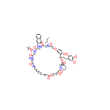 CCCC[C@H]1C(=O)N[C@@H](Cc2ccc3ccccc3c2)C(=O)N(C)[C@@H](COC(C)(C)C)C(=O)NCC(=O)N(C)CCCC/C=C/C(=O)OCC(C)(C)C(=O)C(=O)N2CCCC[C@H]2C(=O)O[C@H](CCc2cc(OC)c(OC)cc2O)c2cccc(c2)OCC(=O)N1C